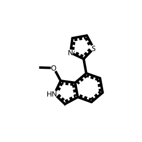 COc1[nH][c]c2cccc(-c3nccs3)c12